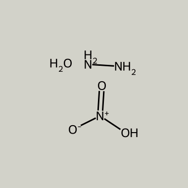 NN.O.O=[N+]([O-])O